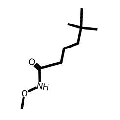 CONC(=O)CCCC(C)(C)C